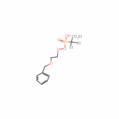 CCOC(=O)C(CC)(CC)P(=O)(O)OOCCOCc1ccccc1